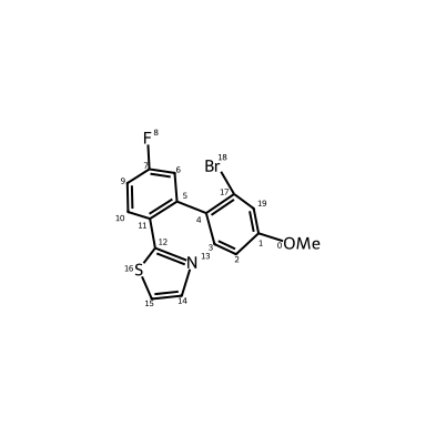 COc1ccc(-c2cc(F)ccc2-c2nccs2)c(Br)c1